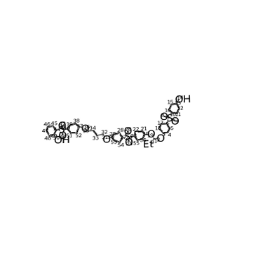 CCC(Oc1ccc(S(=O)(=O)c2ccc(O)cc2)cc1)Oc1ccc(S(=O)(=O)c2ccc(OC/C=C/COc3ccc(S(=O)(=O)c4ccccc4O)cc3)cc2)cc1